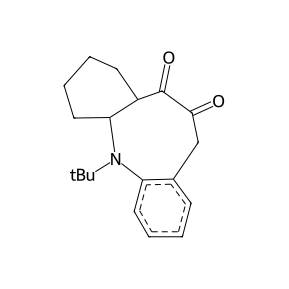 CC(C)(C)N1c2ccccc2CC(=O)C(=O)C2CCCCC21